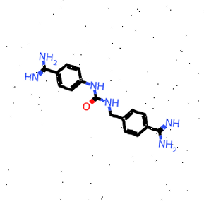 N=C(N)c1ccc(CNC(=O)Nc2ccc(C(=N)N)cc2)cc1